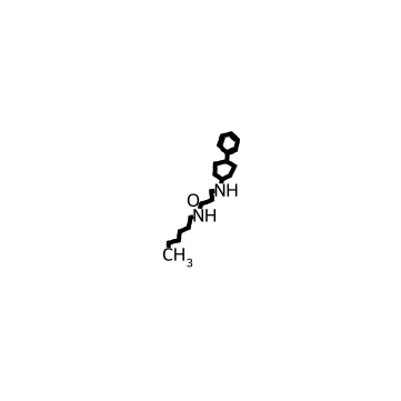 CCCCCCNC(=O)CCNC1CCC(c2ccccc2)CC1